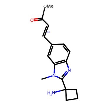 COC(=O)/C=C/c1ccc2nc(C3(N)CCC3)n(C)c2c1